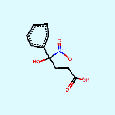 O=C(O)CCC(O)(c1ccccc1)[N+](=O)[O-]